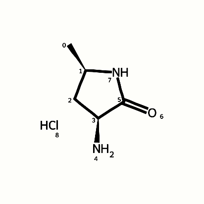 C[C@@H]1C[C@H](N)C(=O)N1.Cl